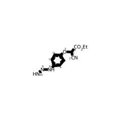 CCOC(=O)C(C#N)Oc1ccc(NN=N)cc1